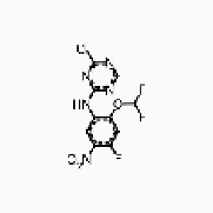 O=[N+]([O-])c1cc(Nc2ncnc(Cl)n2)c(OC(F)F)cc1F